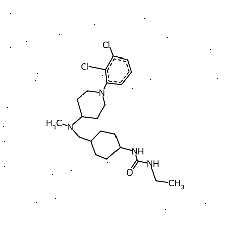 CCNC(=O)NC1CCC(CN(C)C2CCN(c3cccc(Cl)c3Cl)CC2)CC1